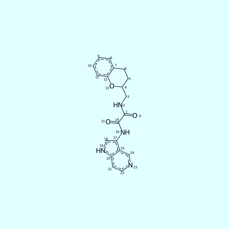 O=C(NCC1CCc2ccccc2O1)C(=O)Nc1c[nH]c2ccncc12